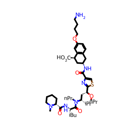 CCCO[C@H](C[C@H](C(C)C)N(CCC)C(=O)[C@@H](NC(=O)[C@H]1CCCCN1C)[C@@H](C)CC)c1nc(C(=O)N[C@H]2Cc3ccc(OCCCCN)cc3[C@H](C(=O)O)C2)cs1